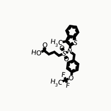 Cc1c(N(Cc2ccc(OC(C)(F)F)cc2)S(=O)(=O)CCCC(=O)O)sc2ccccc12